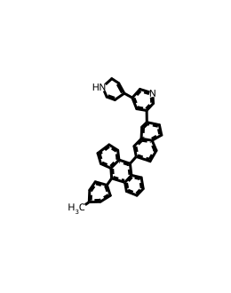 Cc1ccc(-c2c3ccccc3c(-c3ccc4ccc(-c5cncc(C6=CCNC=C6)c5)cc4c3)c3ccccc23)cc1